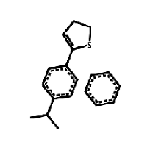 CC(C)c1ccc(C2=CCCS2)cc1.c1ccccc1